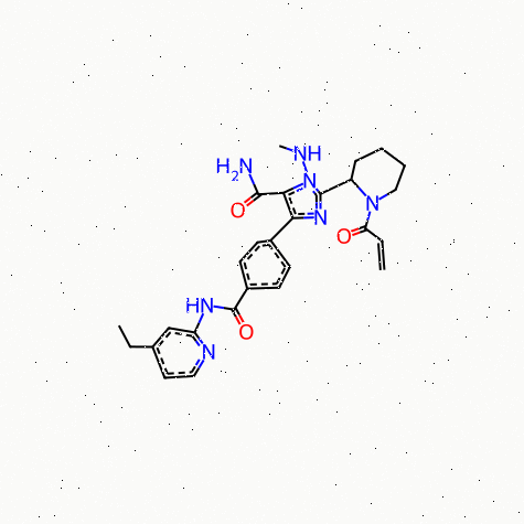 C=CC(=O)N1CCCCC1c1nc(-c2ccc(C(=O)Nc3cc(CC)ccn3)cc2)c(C(N)=O)n1NC